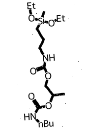 CCCCNC(=O)OC(C)COC(=O)NCCC[Si](C)(OCC)OCC